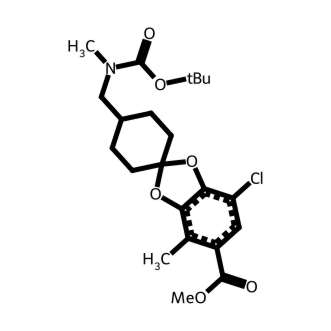 COC(=O)c1cc(Cl)c2c(c1C)OC1(CCC(CN(C)C(=O)OC(C)(C)C)CC1)O2